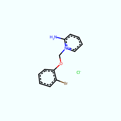 Nc1cccc[n+]1COc1ccccc1Br.[Cl-]